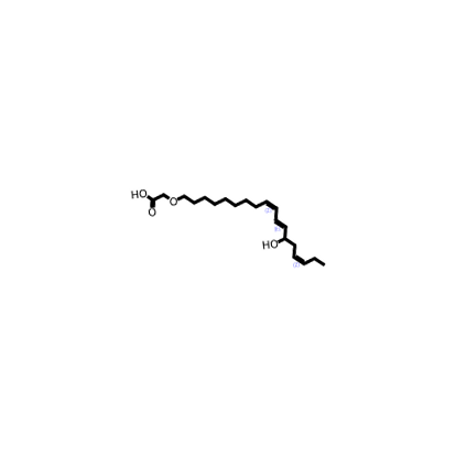 CC/C=C\CC(O)/C=C/C=C\CCCCCCCCOCC(=O)O